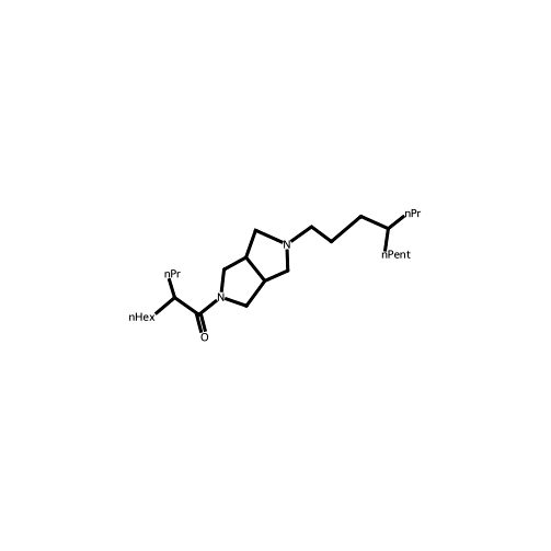 CCCCCCC(CCC)C(=O)N1CC2CN(CCCC(CCC)CCCCC)CC2C1